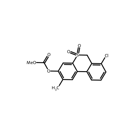 COC(=O)Oc1cc2c(cc1C)-c1cccc(Cl)c1CS2(=O)=O